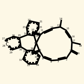 C=C1/C=C\C=C/C(=C)C2(C(=C)/C=C\C(C)/C=C\C1C)c1ccccc1-c1ccccc1-c1ccccc12